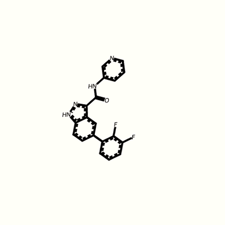 O=C(Nc1cccnc1)c1n[nH]c2ccc(-c3cccc(F)c3F)cc12